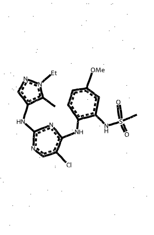 CCn1ncc(Nc2ncc(Cl)c(Nc3ccc(OC)cc3NS(C)(=O)=O)n2)c1C